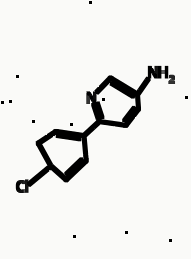 Nc1ccc(C2=CCC(Cl)C=C2)nc1